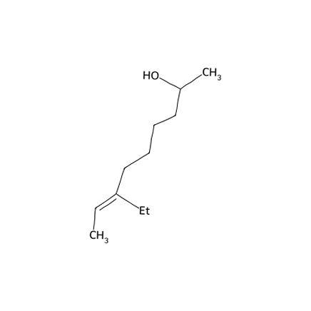 C/C=C(\CC)CCCCC(C)O